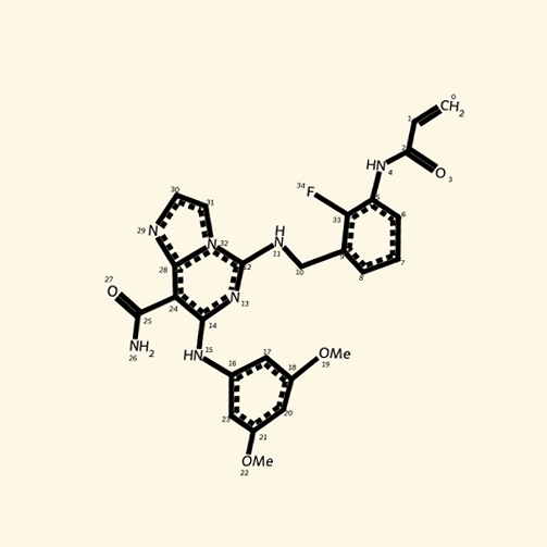 C=CC(=O)Nc1cccc(CNc2nc(Nc3cc(OC)cc(OC)c3)c(C(N)=O)c3nccn23)c1F